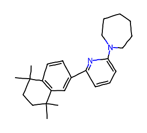 CC1(C)CCC(C)(C)c2cc(-c3cccc(N4CCCCCC4)n3)ccc21